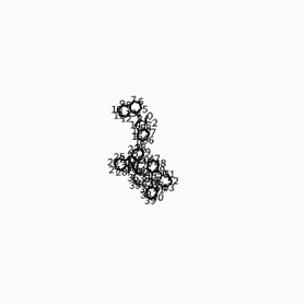 CC1(C)C(c2cccc3ccccc23)=Cc2cc(-c3ccc4c(c3)c3ccccc3n4C3=CC4C(C=C3)c3ccccc3C43c4ccccc4C4C=CC=CC43)ccc21